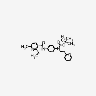 CSc1nc(C)ccc1C(=O)Nc1ccc(N(CCc2ccccn2)C(=O)OC(C)(C)C)cc1